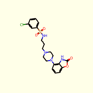 O=c1[nH]c2c(N3CCN(CCCNS(=O)(=O)c4cccc(Cl)c4)CC3)cccc2o1